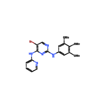 COc1cc(Nc2ncc(Br)c(Nc3ccccn3)n2)cc(OC)c1OC